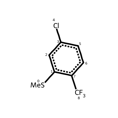 CSc1cc(Cl)ccc1C(F)(F)F